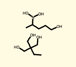 CC(CCCO)N(O)O.CCC(CO)(CO)CO